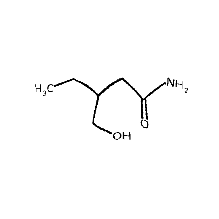 CCC(CO)CC(N)=O